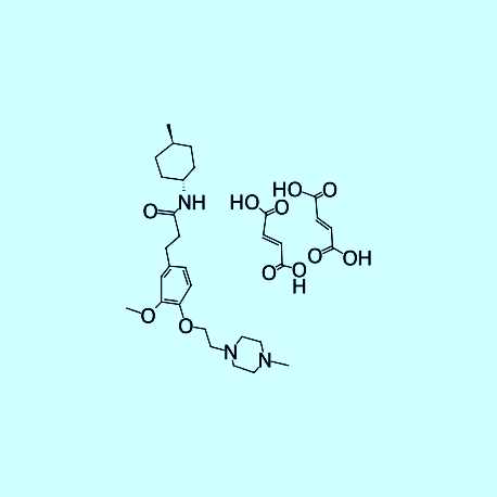 COc1cc(CCC(=O)N[C@H]2CC[C@H](C)CC2)ccc1OCCN1CCN(C)CC1.O=C(O)C=CC(=O)O.O=C(O)C=CC(=O)O